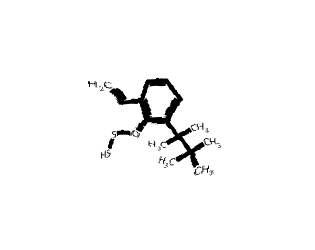 C=Cc1cccc(C(C)(C)C(C)(C)C)c1OSS